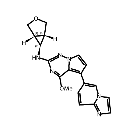 COc1nc(N[C@H]2[C@@H]3COC[C@@H]32)nn2ccc(-c3ccc4nccn4c3)c12